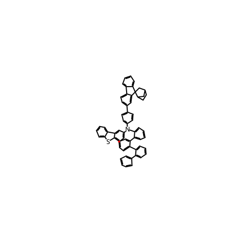 c1ccc(-c2ccccc2-c2ccccc2-c2ccccc2N(c2ccc(-c3ccc4c(c3)C3(CC5CCC3C5)c3ccccc3-4)cc2)c2ccc3sc4ccccc4c3c2)cc1